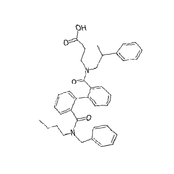 CCCCN(Cc1ccccc1)C(=O)c1ccccc1-c1ccccc1C(=O)N(CCC(=O)O)CC(C)c1ccccc1